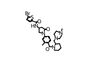 Cc1cc(N2CC(NC(=O)c3ccc(Br)s3)CC2=O)ccc1C(=O)N1CCCCC1CN1CCN(C)CC1